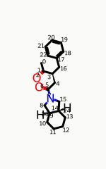 CC(=O)[C@H](CC(=O)N1C[C@H]2CCCC[C@H]2C1)Cc1ccccc1